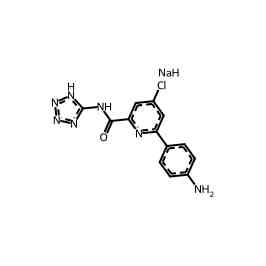 Nc1ccc(-c2cc(Cl)cc(C(=O)Nc3nnn[nH]3)n2)cc1.[NaH]